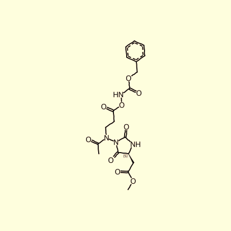 COC(=O)C[C@@H]1NC(=O)N(N(CCC(=O)ONC(=O)OCc2ccccc2)C(C)=O)C1=O